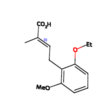 CCOc1cccc(OC)c1C/C=C(\C)C(=O)O